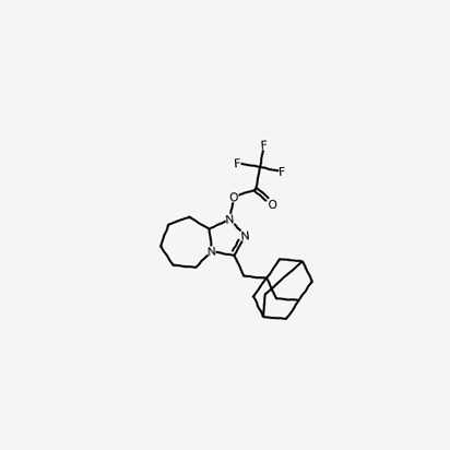 O=C(ON1N=C(CC23CC4CC(CC(C4)C2)C3)N2CCCCCC12)C(F)(F)F